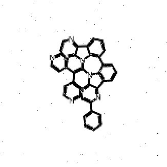 c1ccc(-c2cnc3c(n2)c2cccc4c5cccc6c7nccnc7n(c(=C(c7ccncc7)c7ccncc7)n3c42)c56)cc1